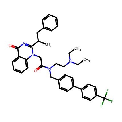 CCN(CC)CCN(Cc1ccc(-c2ccc(C(F)(F)F)cc2)cc1)C(=O)Cn1c(C(C)Cc2ccccc2)nc(=O)c2ccccc21